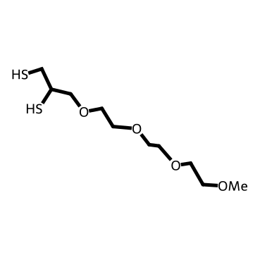 COCCOCCOCCOCC(S)CS